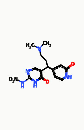 CN(C)CCC(c1cc[nH]c(=O)c1)c1cnc(N[N+](=O)[O-])[nH]c1=O